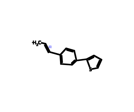 [CH2]/C=C/c1ccc(-c2cccs2)cc1